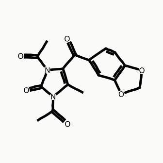 CC(=O)n1c(C)c(C(=O)c2ccc3c(c2)OCO3)n(C(C)=O)c1=O